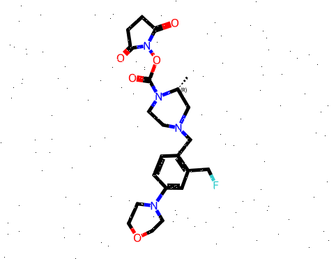 C[C@@H]1CN(Cc2ccc(N3CCOCC3)cc2CF)CCN1C(=O)ON1C(=O)CCC1=O